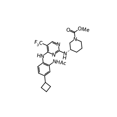 COC(=O)N1CCC[C@H](Nc2ncc(C(F)(F)F)c(Nc3ccc(C4CCC4)cc3NC(C)=O)n2)C1